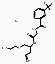 CCCOCC(CC=N)NC(=O)CNC(=O)c1cccc(C(F)(F)F)c1.Cl